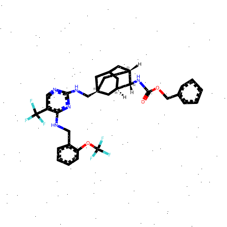 O=C(N[C@@H]1[C@@H]2CC3C[C@H]1C[C@@](CNc1ncc(C(F)(F)F)c(NCc4ccccc4OC(F)(F)F)n1)(C3)C2)OCc1ccccc1